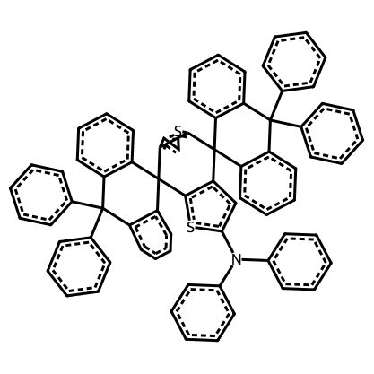 c1ccc(N(c2ccccc2)c2cc3c(s2)C2(c4ccccc4C(c4ccccc4)(c4ccccc4)c4ccccc42)c2ccsc2C32c3ccccc3C(c3ccccc3)(c3ccccc3)c3ccccc32)cc1